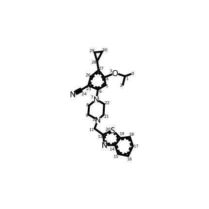 CC(C)Oc1cc(N2CCN(Cc3nc4ccccc4s3)CC2)c(C#N)cc1C1CC1